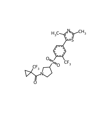 Cc1nc(C)c(-c2ccc(S(=O)(=O)C3CCN(C(=O)C4(C(F)(F)F)CC4)C3)c(C(F)(F)F)c2)s1